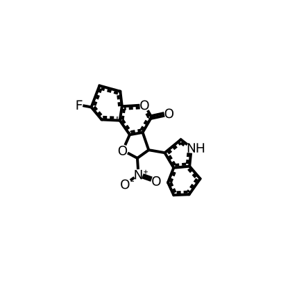 O=c1oc2ccc(F)cc2c2c1C(c1c[nH]c3ccccc13)C([N+](=O)[O-])O2